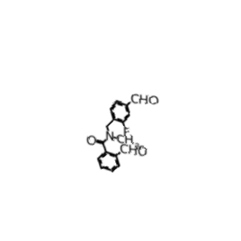 CN(Cc1ccc(C=O)cc1F)C(=O)c1ccccc1C=O